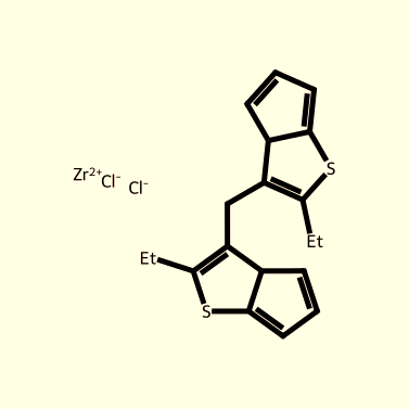 CCC1=C(CC2=C(CC)SC3=CC=CC32)C2C=CC=C2S1.[Cl-].[Cl-].[Zr+2]